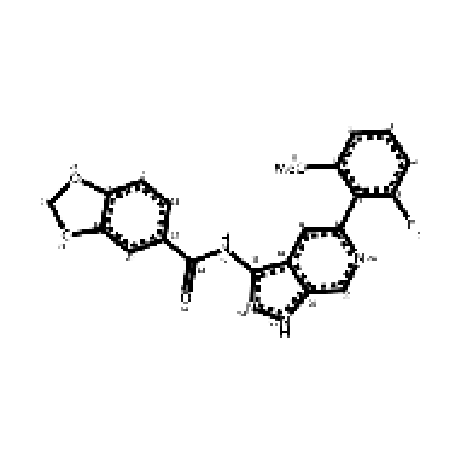 COc1cccc(F)c1-c1cc2c(NC(=O)c3ccc4c(c3)OCO4)n[nH]c2cn1